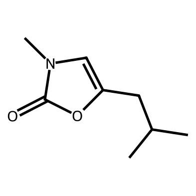 CC(C)Cc1cn(C)c(=O)o1